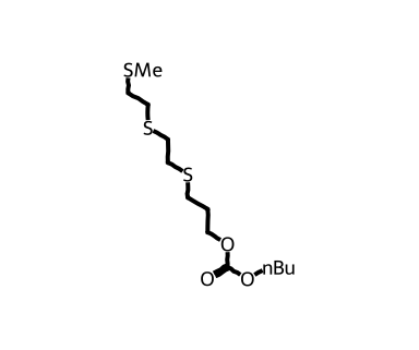 CCCCOC(=O)OCCCSCCSCCSC